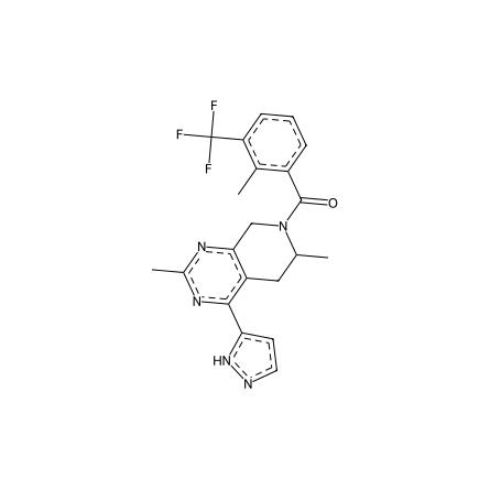 Cc1nc2c(c(-c3ccn[nH]3)n1)CC(C)N(C(=O)c1cccc(C(F)(F)F)c1C)C2